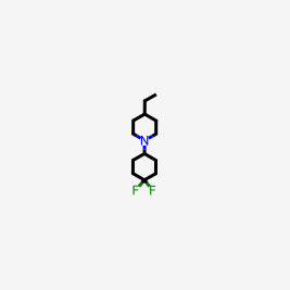 CCC1CCN(C2CCC(F)(F)CC2)CC1